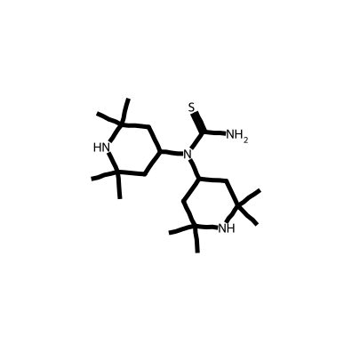 CC1(C)CC(N(C(N)=S)C2CC(C)(C)NC(C)(C)C2)CC(C)(C)N1